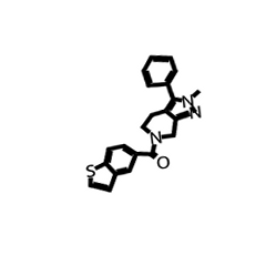 Cn1nc2c(c1-c1ccccc1)CCN(C(=O)c1ccc3sccc3c1)C2